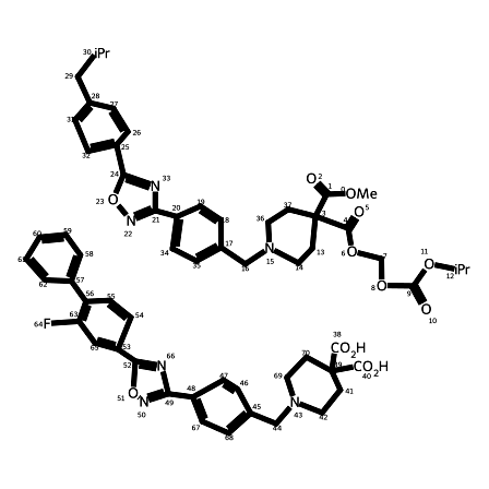 COC(=O)C1(C(=O)OCOC(=O)OC(C)C)CCN(Cc2ccc(-c3noc(-c4ccc(CC(C)C)cc4)n3)cc2)CC1.O=C(O)C1(C(=O)O)CCN(Cc2ccc(-c3noc(-c4ccc(-c5ccccc5)c(F)c4)n3)cc2)CC1